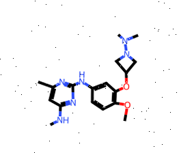 CNc1cc(C)nc(Nc2ccc(OC)c(OC3CN(N(C)C)C3)c2)n1